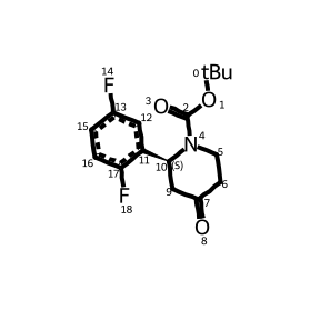 CC(C)(C)OC(=O)N1CCC(=O)C[C@H]1c1cc(F)ccc1F